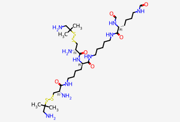 CC(C)(CN)SSC[C@@H](N)C(=O)NCCCC[C@@H](NC(=O)[C@H](N)CSSC(C)(C)CN)C(=O)NCCCCCNC(=O)[C@@H](CCCCNC=O)NC=O